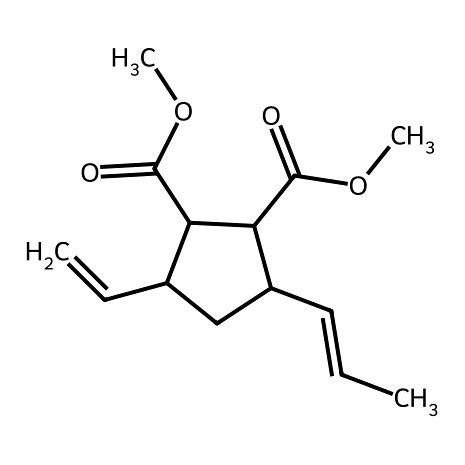 C=CC1CC(C=CC)C(C(=O)OC)C1C(=O)OC